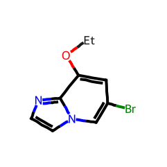 CCOc1cc(Br)cn2ccnc12